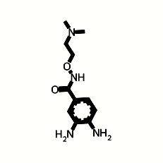 CN(C)CCONC(=O)c1ccc(N)c(N)c1